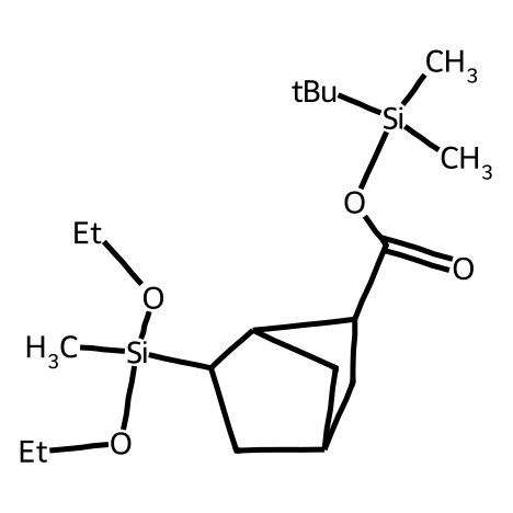 CCO[Si](C)(OCC)C1CC2CC(C(=O)O[Si](C)(C)C(C)(C)C)C1C2